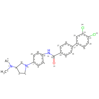 CC(=O)N(C)C1CCN(c2ccc(NC(=O)c3ccc(-c4ccc(Cl)c(Cl)c4)cc3)cc2)C1